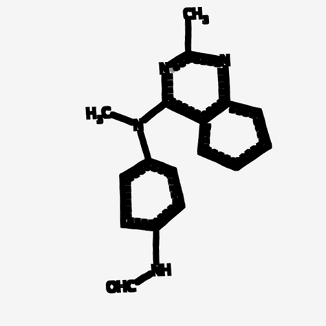 Cc1nc(N(C)c2ccc(NC=O)cc2)c2ccccc2n1